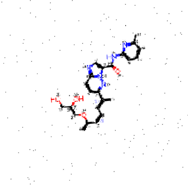 C=C(/C=C\C=C(/C)c1ccc2ncc(C(=O)Nc3cccc(C)n3)n2n1)OC[C@H](O)CO